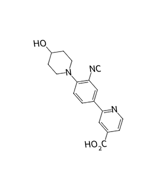 [C-]#[N+]c1cc(-c2cc(C(=O)O)ccn2)ccc1N1CCC(O)CC1